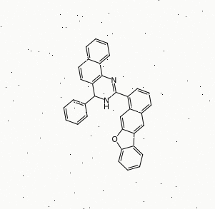 c1ccc(C2NC(c3cccc4cc5c(cc34)oc3ccccc35)=Nc3c2ccc2ccccc32)cc1